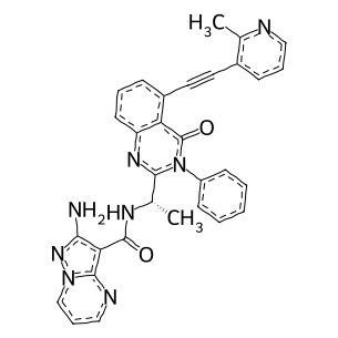 Cc1ncccc1C#Cc1cccc2nc([C@H](C)NC(=O)c3c(N)nn4cccnc34)n(-c3ccccc3)c(=O)c12